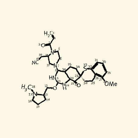 C=CC(=O)N1CCN(C2NC(OCC3CCCN3C)NC3C(=O)[C@@]4(CCc5c(OC)cccc5S4)CCC32)CC1CC#N